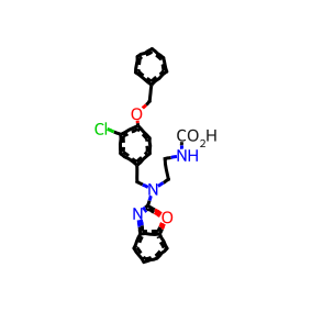 O=C(O)NCCN(Cc1ccc(OCc2ccccc2)c(Cl)c1)c1nc2ccccc2o1